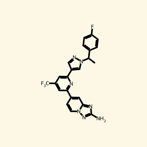 CC(c1ccc(F)cc1)n1cc(-c2cc(C(F)(F)F)cc(-c3ccn4nc(N)nc4c3)n2)cn1